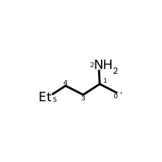 [CH2]C(N)CCCC